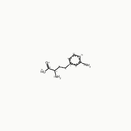 Nc1cc(CCC(N)C(=O)O)ccn1